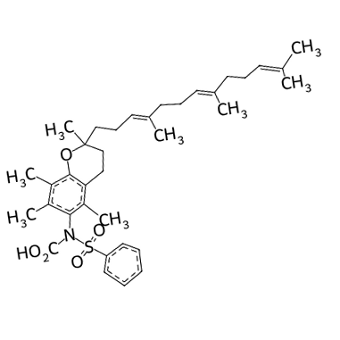 CC(C)=CCC/C(C)=C/CC/C(C)=C/CCC1(C)CCc2c(C)c(N(C(=O)O)S(=O)(=O)c3ccccc3)c(C)c(C)c2O1